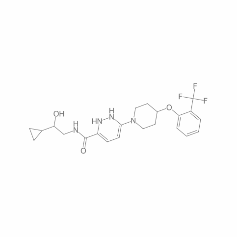 O=C(NCC(O)C1CC1)C1=CC=C(N2CCC(Oc3ccccc3C(F)(F)F)CC2)NN1